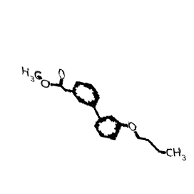 CCCCOc1cccc(-c2cccc(CC(=O)OC)c2)c1